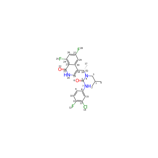 CC(C)CN(C(=O)Nc1ccc(F)c(Cl)c1)[C@@H](C)c1c[nH]c(=O)c2c(F)cc(F)cc12